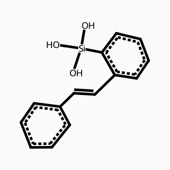 O[Si](O)(O)c1ccccc1C=Cc1ccccc1